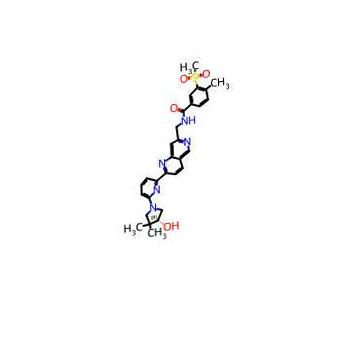 Cc1ccc(C(=O)NCc2cc3nc(-c4cccc(N5C[C@H](O)C(C)(C)C5)n4)ccc3cn2)cc1S(C)(=O)=O